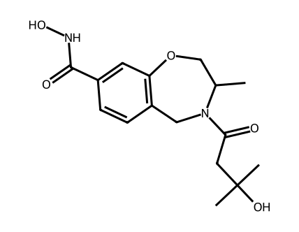 CC1COc2cc(C(=O)NO)ccc2CN1C(=O)CC(C)(C)O